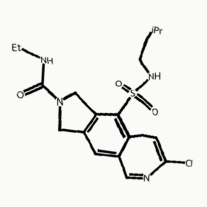 CCNC(=O)N1Cc2cc3cnc(Cl)cc3c(S(=O)(=O)NCC(C)C)c2C1